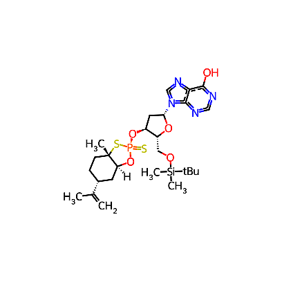 C=C(C)[C@@H]1CC[C@]2(C)S[P@@](=S)(O[C@H]3C[C@H](n4cnc5c(O)ncnc54)O[C@@H]3CO[Si](C)(C)C(C)(C)C)O[C@H]2C1